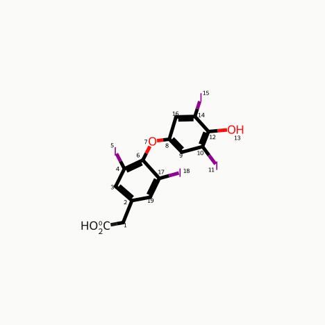 O=C(O)Cc1cc(I)c(Oc2cc(I)c(O)c(I)c2)c(I)c1